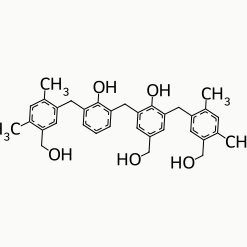 Cc1cc(C)c(Cc2cccc(Cc3cc(CO)cc(Cc4cc(CO)c(C)cc4C)c3O)c2O)cc1CO